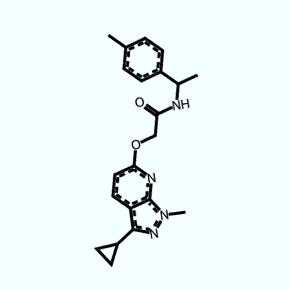 Cc1ccc(C(C)NC(=O)COc2ccc3c(C4CC4)nn(C)c3n2)cc1